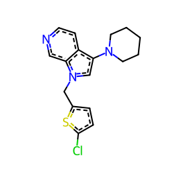 Clc1ccc(Cn2cc(N3CCCCC3)c3ccncc32)s1